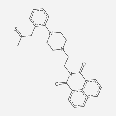 CC(=S)Cc1ccccc1N1CCN(CCN2C(=O)c3cccc4cccc(c34)C2=O)CC1